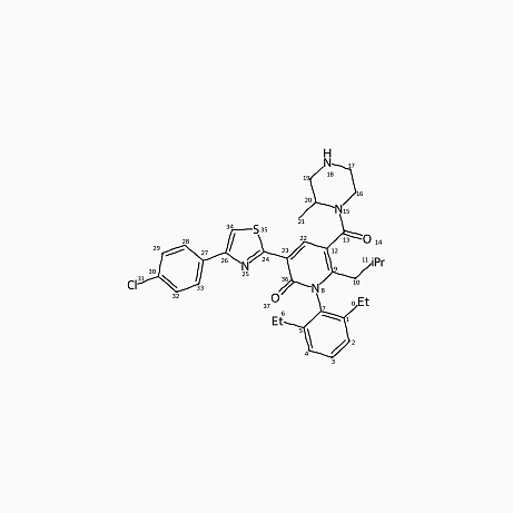 CCc1cccc(CC)c1-n1c(CC(C)C)c(C(=O)N2CCNCC2C)cc(-c2nc(-c3ccc(Cl)cc3)cs2)c1=O